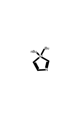 CCCC[N+]1(C(C)CC)C=CN=C1